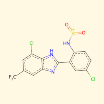 O=[SH](=O)Nc1ccc(Cl)cc1-c1nc2cc(C(F)(F)F)cc(Cl)c2[nH]1